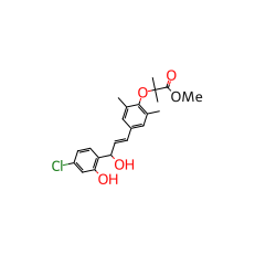 COC(=O)C(C)(C)Oc1c(C)cc(/C=C/C(O)c2ccc(Cl)cc2O)cc1C